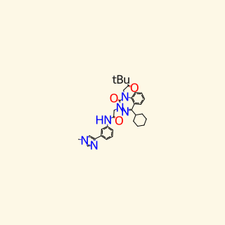 Cn1cnc(-c2cccc(NC(=O)CN3N=C(C4CCCCC4)c4ccccc4N(CC(=O)C(C)(C)C)C3=O)c2)c1